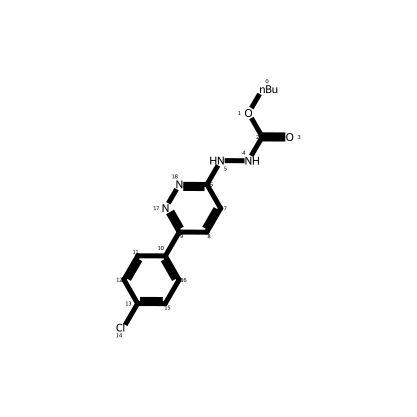 CCCCOC(=O)NNc1ccc(-c2ccc(Cl)cc2)nn1